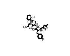 Cc1cc(C(=O)N[C@@H](Cc2ccc(F)cc2)C(=O)N[C@@H](CC(C)C)C(=O)N[C@@H](C[C@@H]2CCCNC2=O)C(N)=O)no1